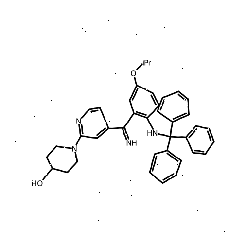 CC(C)Oc1ccc(NC(c2ccccc2)(c2ccccc2)c2ccccc2)c(C(=N)c2ccnc(N3CCC(O)CC3)c2)c1